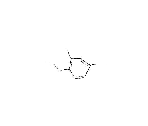 CCCCc1ccc(NC(=O)OCC)c(N)c1